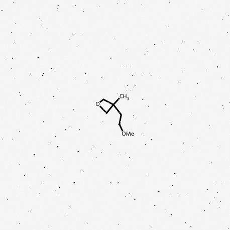 COCCC1(C)COC1